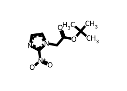 CC(C)(C)OC(=O)Cn1ccnc1[N+](=O)[O-]